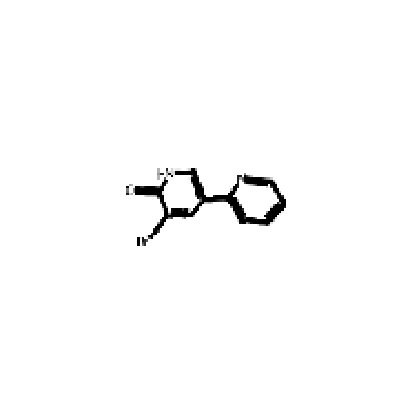 O=c1[nH]cc(-c2ccccn2)cc1Br